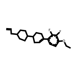 C=CCC1CCC(C2CC=C(c3ccc(OCC)c(F)c3F)CC2)CC1